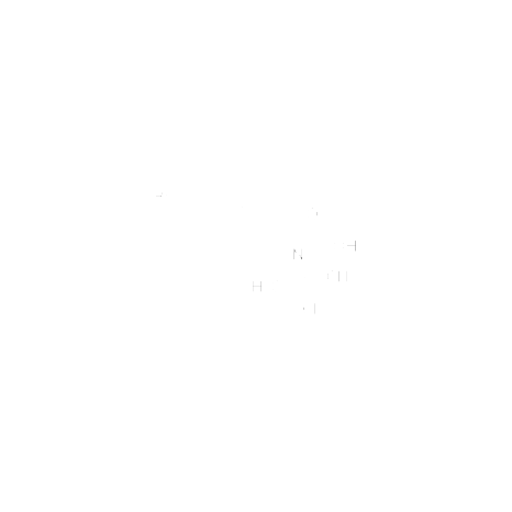 CC(C)(C)N(C(=O)O)C1CCC(CCBr)CC1